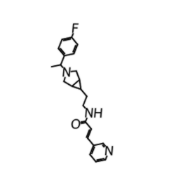 CC(c1ccc(F)cc1)N1CC2C(CCNC(=O)/C=C/c3cccnc3)C2C1